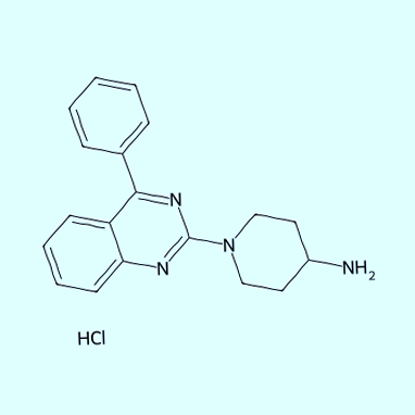 Cl.NC1CCN(c2nc(-c3ccccc3)c3ccccc3n2)CC1